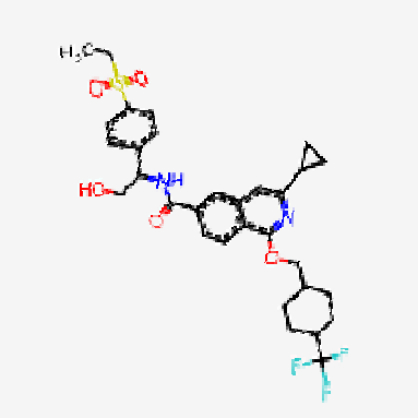 CCS(=O)(=O)c1ccc(C(CO)NC(=O)c2ccc3c(OCC4CCC(C(F)(F)F)CC4)nc(C4CC4)cc3c2)cc1